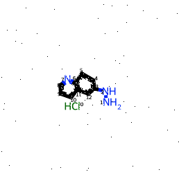 Cl.NNc1ccc2ncccc2c1